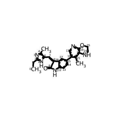 CCc1nc(C)c(/C=C2\C(=O)Nc3ccc(-c4cnc5c(c4C)NCCO5)cc32)[nH]1